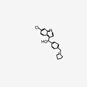 OC(c1ccc(CN2CCCC2)cc1)c1ccnc2cc(Cl)ccc12